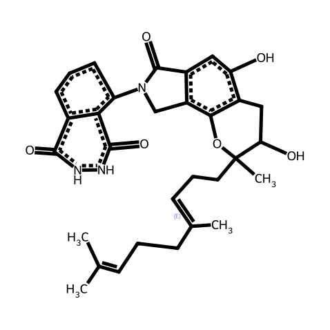 CC(C)=CCC/C(C)=C/CCC1(C)Oc2c(c(O)cc3c2CN(c2cccc4c(=O)[nH][nH]c(=O)c24)C3=O)CC1O